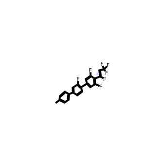 Cc1ccc(-c2ccc(-c3cc(F)c(/C(F)=C/C(F)(F)F)c(F)c3)c(F)c2)cc1